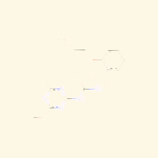 COCCOc1ccccc1S(=O)(=O)NC(=O)Nc1nc(C)nc(OC)n1